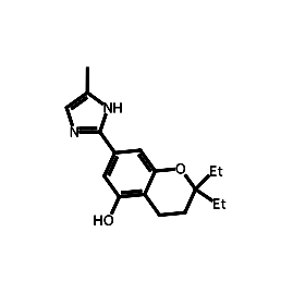 CCC1(CC)CCc2c(O)cc(-c3ncc(C)[nH]3)cc2O1